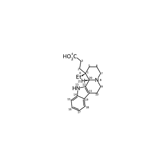 CC[C@@]1(CCC(=O)O)CCCN2CCc3c([nH]c4ccccc34)[C@@H]21